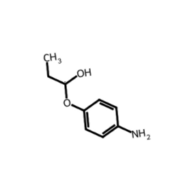 CC[C](O)Oc1ccc(N)cc1